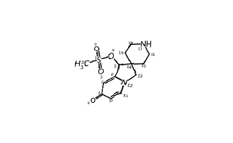 CS(=O)(=O)OC1c2cc(=O)ccn2CC12CCNCC2